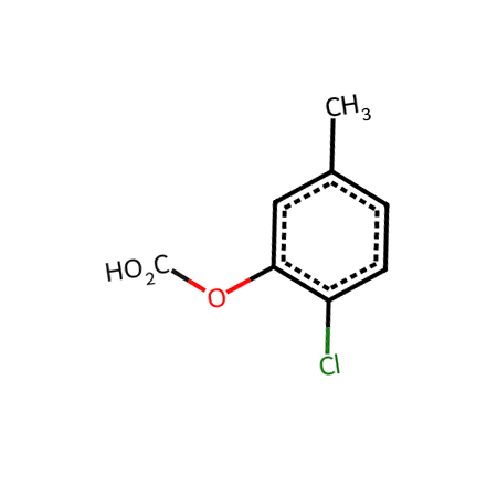 Cc1ccc(Cl)c(OC(=O)O)c1